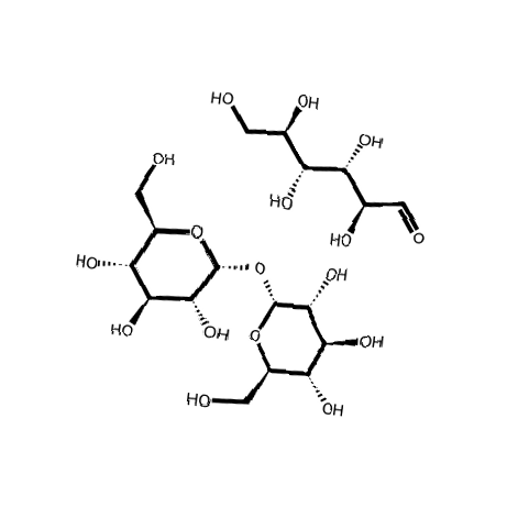 O=C[C@@H](O)[C@@H](O)[C@H](O)[C@H](O)CO.OC[C@H]1O[C@H](O[C@H]2O[C@H](CO)[C@@H](O)[C@H](O)[C@H]2O)[C@H](O)[C@@H](O)[C@@H]1O